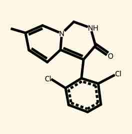 CC1=CN2CNC(=O)C(c3c(Cl)cccc3Cl)=C2C=C1